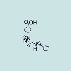 O=C(O)[C@H]1CC[C@H](c2nc(C3(CN[C@@H]4C[C@H]4c4ccccc4)CC3)no2)CC1